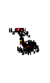 CCC(=CCCC(O)(CC)CC)c1csc(COc2ccc(C(O[SiH](C)C)C(C)(C)C)c(C(O[SiH](C)C)C(C)(C)C)c2)c1